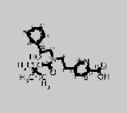 CC(C)(C)OC(=O)N(CCc1ccc(C(=O)O)nc1)CC(O)c1ccccc1